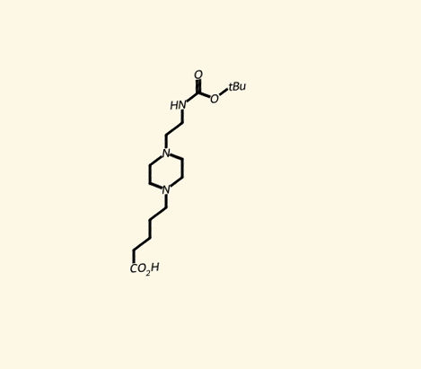 CC(C)(C)OC(=O)NCCN1CCN(CCCCC(=O)O)CC1